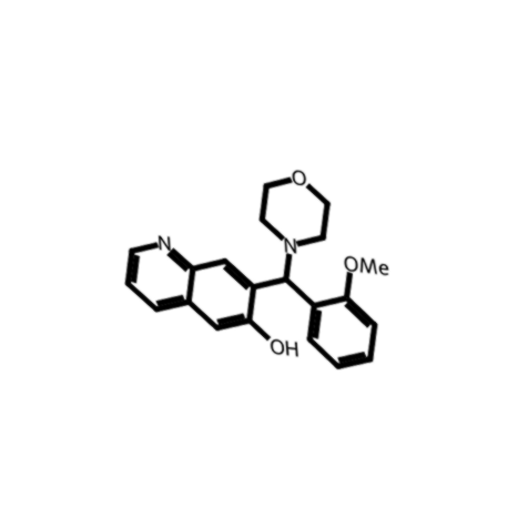 COc1ccccc1C(c1cc2ncccc2cc1O)N1CCOCC1